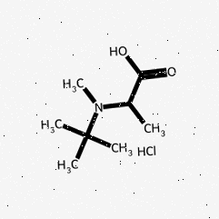 CC(C(=O)O)N(C)C(C)(C)C.Cl